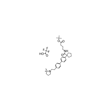 C[C@@H]1CCCN1CCc1ccc(-c2ccc(C3(C(=O)NCCCC(=O)OC(C)(C)C)CCCC3)cc2)cc1.O=C(O)C(F)(F)F